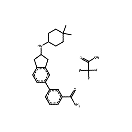 CC1(C)CCC(NC2Cc3ccc(-c4cccc(C(N)=O)c4)cc3C2)CC1.O=C(O)C(F)(F)F